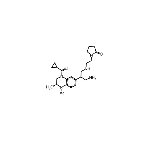 CC(=O)N1c2ccc(C(CN)CNCCN3CCCC3=O)cc2N(C(=O)C2CC2)C[C@@H]1C